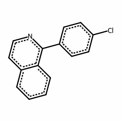 Clc1ccc(-c2nccc3ccccc23)cc1